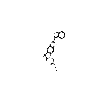 CONC(=O)CN1C(=O)C(C)(C)c2cc3nc(-c4n[nH]c5ccccc45)[nH]c3cc21